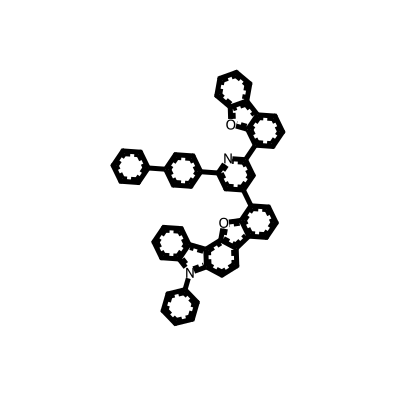 c1ccc(-c2ccc(-c3cc(-c4cccc5c4oc4c5ccc5c4c4ccccc4n5-c4ccccc4)cc(-c4cccc5c4oc4ccccc45)n3)cc2)cc1